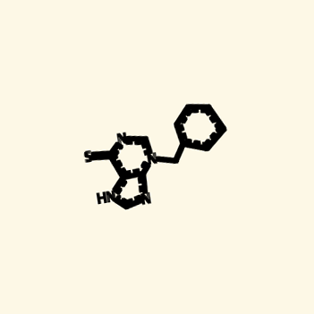 S=c1ncn(Cc2ccccc2)c2nc[nH]c12